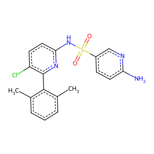 Cc1cccc(C)c1-c1nc(NS(=O)(=O)c2ccc(N)nc2)ccc1Cl